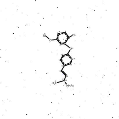 CCOc1ccc(Cl)c(Oc2ccc(/C=C/[C@H](C)NC(C)=O)cn2)c1